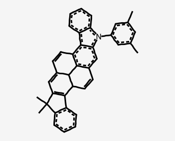 Cc1cc(C)cc(-n2c3ccccc3c3c4c5c(cc32)C=CC2C3=C(C=C(C=C4)C52)C(C)(C)c2ccccc23)c1